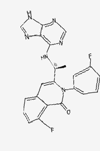 C[C@H](Nc1ncnc2[nH]cnc12)c1cc2cccc(F)c2c(=O)n1-c1cccc(F)c1